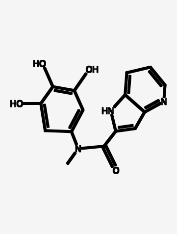 CN(C(=O)c1cc2ncccc2[nH]1)c1cc(O)c(O)c(O)c1